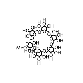 CO[C@H]1O[C@H](CO[C@@H]2O[C@H](CO[C@@H]3O[C@H](CO[C@@H]4O[C@H](CO[C@@H]5O[C@H](CO[C@@H]6O[C@H](C(=O)O)[C@@H](O)[C@H](O)[C@H]6O)[C@@H](O)[C@H](O)[C@H]5O)[C@@H](O)[C@H](O)[C@H]4O)[C@@H](O)[C@H](O)[C@H]3O)[C@@H](O)[C@H](O)[C@H]2O)[C@@H](O)[C@H](O)[C@H]1O